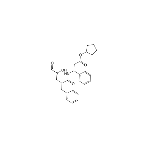 O=CN(O)CC(Cc1ccccc1)C(=O)NC(CC(=O)OC1CCCC1)c1ccccc1